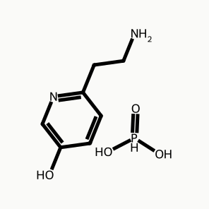 NCCc1ccc(O)cn1.O=[PH](O)O